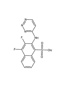 O=S(=O)(O)c1c(Nc2ccnnn2)c(F)c(F)c2ccccc12